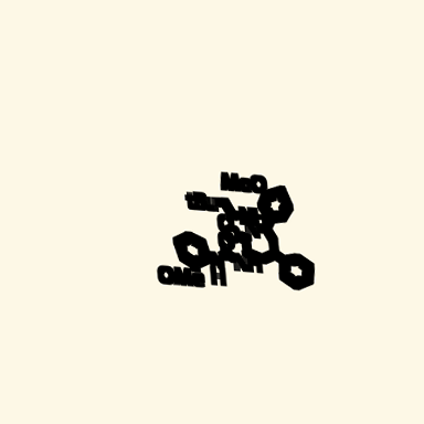 COc1cccc(C2CC(c3ccccc3)CC(NC(=O)Nc3ccccc3OC)C(=O)N2NC(=O)CC(C)(C)C)c1